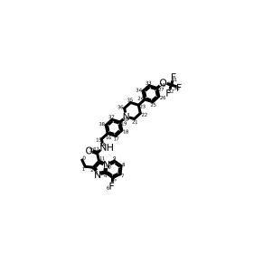 CCc1nc2c(F)cccn2c1C(=O)NCc1ccc(N2CCC(c3ccc(OC(F)(F)F)cc3)CC2)cc1